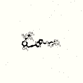 CC1CCN(C(=O)OC(C)(C)C)CC1CC#Cc1cnc2c(ccn2COCC[Si](C)(C)C)n1